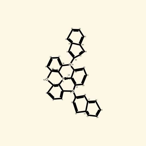 S=P12c3c4cccc3N(c3ccc5ccccc5c3)c3cccc(c31)N(c1ccc3ccccc3c1)c1cccc(c12)O4